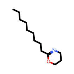 CCCCCCCCCC1=NCCCO1